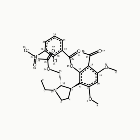 CCN1CC[C@H](c2c(OC)cc(OC)c(C(C)=O)c2OC(=O)c2cccc([N+](=O)[O-])c2Cl)[C@H]1COC(C)=O